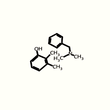 CN(C)Cc1ccccc1.Cc1cccc(O)c1C